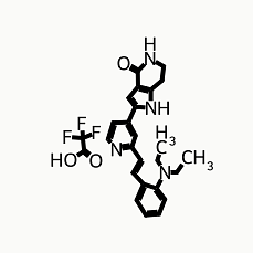 CCN(CC)c1ccccc1/C=C/c1cc(-c2cc3c([nH]2)CCNC3=O)ccn1.O=C(O)C(F)(F)F